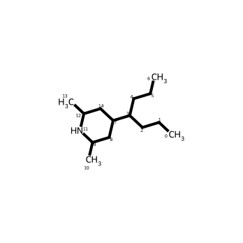 CCCC(CCC)C1CC(C)NC(C)C1